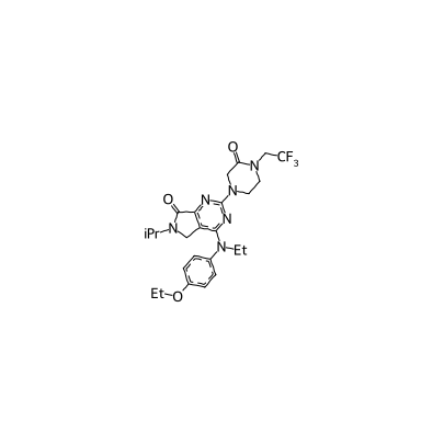 CCOc1ccc(N(CC)c2nc(N3CCN(CC(F)(F)F)C(=O)C3)nc3c2CN(C(C)C)C3=O)cc1